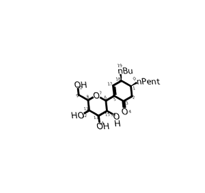 CCCCC[C@H]1CC(=O)C(C2OC(CO)C(O)C(O)C2O)=C[C@H]1CCCC